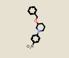 O=[N+]([O-])c1ccc(N2CCCC(OCc3ccccc3)C2)cc1